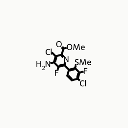 COC(=O)c1nc(-c2ccc(Cl)c(F)c2SC)c(F)c(N)c1Cl